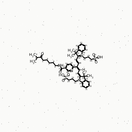 CC(C)C(=O)CCCCCNC(=O)c1ccc(C(=C\C=C2\N(CCCS(=O)(=O)O)c3ccccc3C2(C)C)/C=C/C2=[N+](CCCS(=O)(=O)O)c3ccccc3C2(C)C)nc1